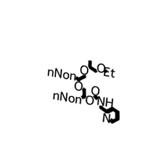 CCCCCCCCCC(COC(C)COCC)OCC(CCCCCCCCC)OC(=O)NCc1ccccn1